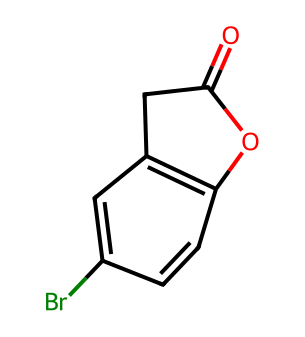 O=C1Cc2cc(Br)ccc2O1